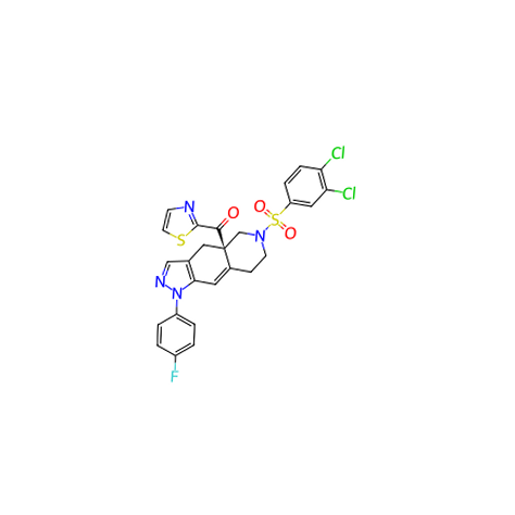 O=C(c1nccs1)[C@]12Cc3cnn(-c4ccc(F)cc4)c3C=C1CCN(S(=O)(=O)c1ccc(Cl)c(Cl)c1)C2